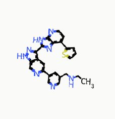 CCNCc1cncc(-c2cc3c(-c4nc5c(-c6cccs6)ccnc5[nH]4)n[nH]c3cn2)c1